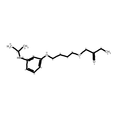 CCC(=O)COCCCCOc1cccc(NC(C)C)c1